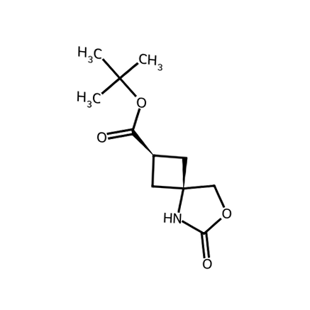 CC(C)(C)OC(=O)[C@H]1C[C@]2(COC(=O)N2)C1